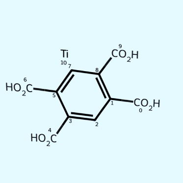 O=C(O)c1cc(C(=O)O)c(C(=O)O)cc1C(=O)O.[Ti]